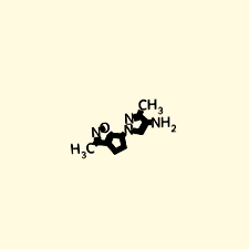 Cc1nn(C2CCc3c(C)noc32)cc1N